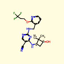 CC1(C)[C@@H](O)C[C@H]1Nc1nc(NCc2cccnc2OCCC(F)(F)F)ncc1C#N